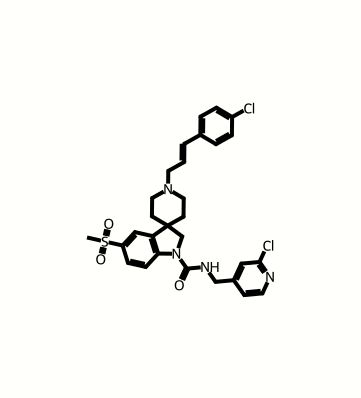 CS(=O)(=O)c1ccc2c(c1)C1(CCN(C/C=C/c3ccc(Cl)cc3)CC1)CN2C(=O)NCc1ccnc(Cl)c1